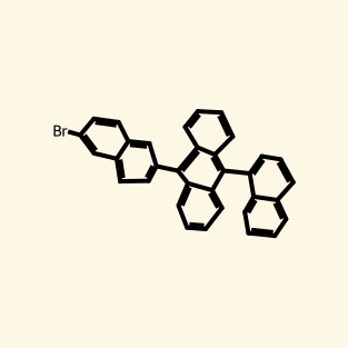 Brc1ccc2cc(-c3c4ccccc4c(-c4cccc5ccccc45)c4ccccc34)ccc2c1